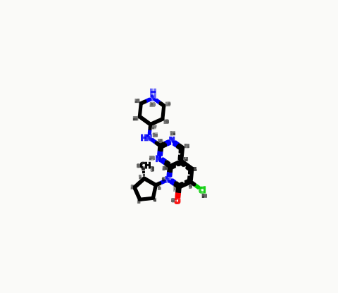 C[C@H]1CCCC1n1c(=O)c(Cl)cc2cnc(NC3CCNCC3)nc21